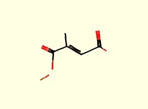 C/C(=C\C(=O)O)C(=O)OS